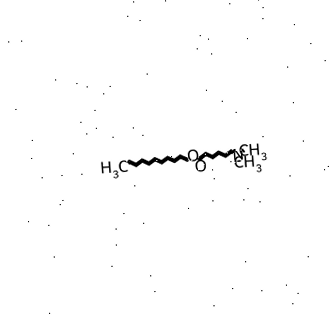 CCCCCCCCCCCOC(=O)CCCCCN(C)C